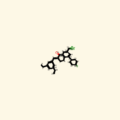 CCc1cc(/C=C2\CCc3c(cc(CBr)cc3-c3ccc(F)cc3)C2=O)cc(CC)c1